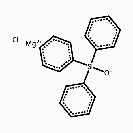 [Cl-].[Mg+2].[O-][Si](c1ccccc1)(c1ccccc1)c1ccccc1